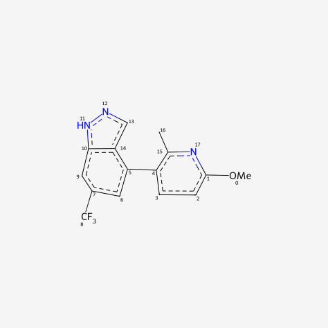 COc1ccc(-c2cc(C(F)(F)F)cc3[nH]ncc23)c(C)n1